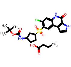 CC(C)(C)OC(=O)NC1CC[C@H](S(=O)(=O)c2cc3c(cc2Cl)[nH]c(=O)c2[nH]ccc23)C1.CCCC(=O)O